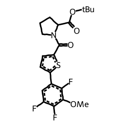 COc1c(F)c(F)cc(-c2ccc(C(=O)N3CCCC3C(=O)OC(C)(C)C)s2)c1F